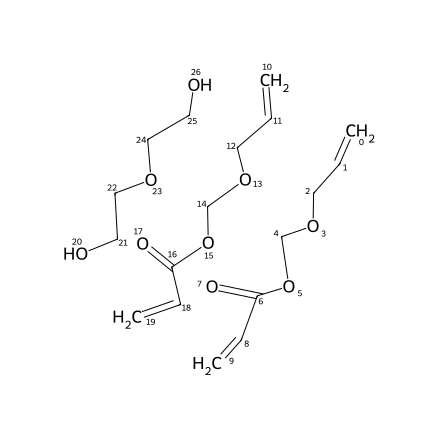 C=CCOCOC(=O)C=C.C=CCOCOC(=O)C=C.OCCOCCO